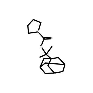 CC(C)(OC(=O)N1CCCC1)C12CC3CC(CC(C3)C1)C2